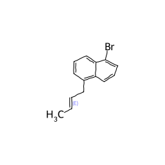 C/C=C/Cc1cccc2c(Br)cccc12